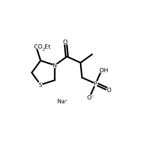 CCOC(=O)C1CSCN1C(=O)C(C)CP(=O)([O-])O.[Na+]